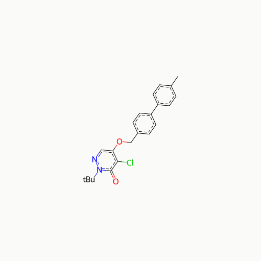 Cc1ccc(-c2ccc(COc3cnn(C(C)(C)C)c(=O)c3Cl)cc2)cc1